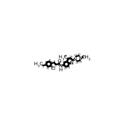 CCc1ccc(/C=C/C(=O)Nc2ccc3nc(N4CCN(C)CC4)cc(C)c3c2)c(Cl)c1